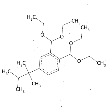 CCOC(OCC)c1ccc(C(C)(C)C(C)C)cc1C(OCC)OCC